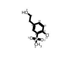 CS(=O)(=O)c1cc(CCO)ccc1Cl